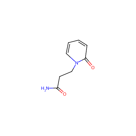 NC(=O)CCn1ccccc1=O